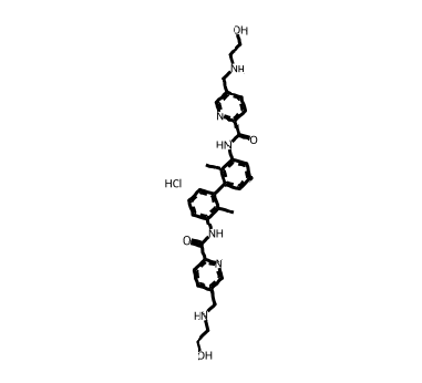 Cc1c(NC(=O)c2ccc(CNCCO)cn2)cccc1-c1cccc(NC(=O)c2ccc(CNCCO)cn2)c1C.Cl